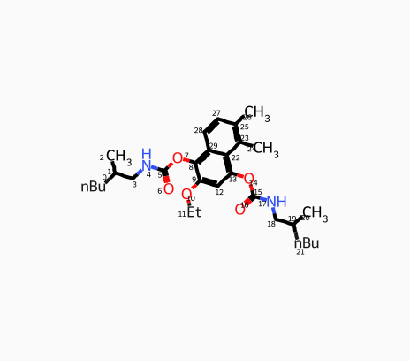 CCCCC(C)CNC(=O)Oc1c(OCC)cc(OC(=O)NCC(C)CCCC)c2c(C)c(C)ccc12